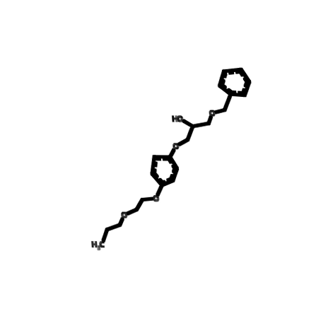 CCCOCCOc1ccc(OCC(O)COCc2ccccc2)cc1